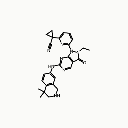 CCn1c(=O)c2cnc(Nc3ccc4c(c3)CNCC4(C)C)nc2n1-c1cccc(C2(C#N)CC2)n1